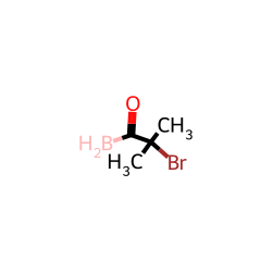 BC(=O)C(C)(C)Br